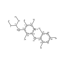 CCC(CC)Oc1c(C)c(C)nc(Oc2c(C)cc(C)cc2C)c1C